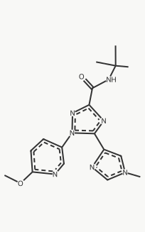 COc1ccc(-n2nc(C(=O)NC(C)(C)C)nc2-c2cn(C)cn2)cn1